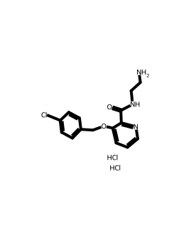 Cl.Cl.NCCNC(=O)c1ncccc1OCc1ccc(Cl)cc1